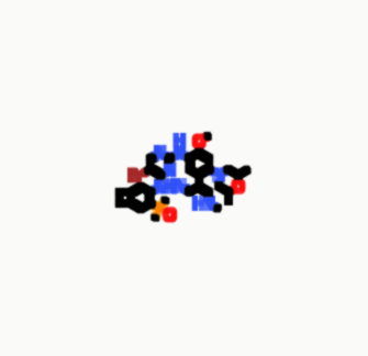 CN/C=C(\C=N)c1cc(Nc2ncc(Br)c(Nc3cc4c(cc3P(C)(C)=O)CC4)n2)c(OC)cc1N1CC(C)OC(C)C1